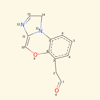 O=CCc1cccc2c1OC=C1N=CCN12